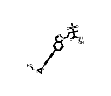 CC(CCn1ncc2cc(C#CC#C[C@H]3C[C@@H]3CO)ccc21)(C(=O)NO)S(C)(=O)=O